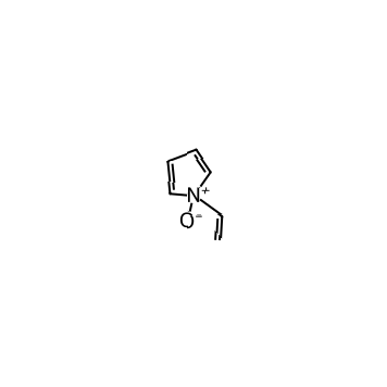 C=C[N+]1([O-])C=CC=C1